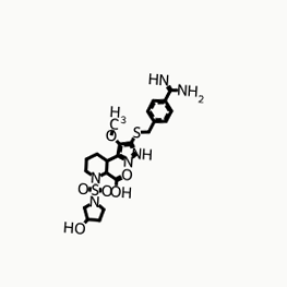 COc1c(C2CCCN(S(=O)(=O)N3CCC(O)C3)C2C(=O)O)n[nH]c1SCc1ccc(C(=N)N)cc1